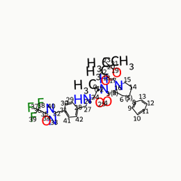 C[C@H](NC(=O)[C@H]1C[C@@H](c2ccccc2)CCN1C(=O)OC(C)(C)C)C(=O)NCc1ccc(-c2noc(C(F)(F)F)n2)cc1